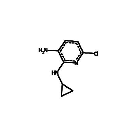 Nc1ccc(Cl)nc1NC1CC1